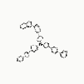 c1ccc(-c2ccc(-c3ccc(N(c4ccc(-c5ccc(-c6ccccc6)cc5)cc4)c4ccc(-c5cccc(-c6ccc7ccccc7c6)c5)cc4)cc3)cc2)cc1